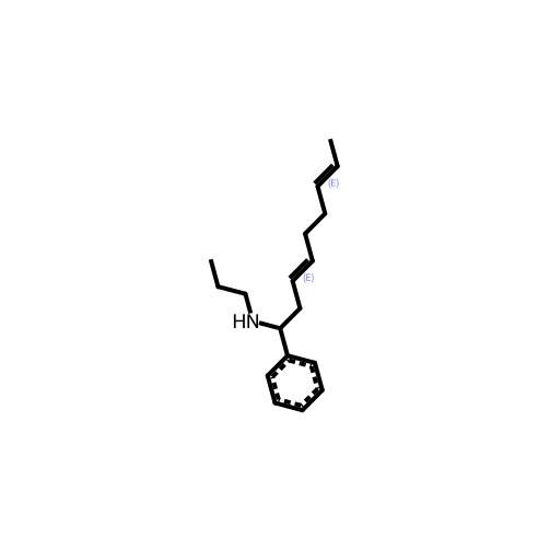 C/C=C/CC/C=C/CC(NCCC)c1ccccc1